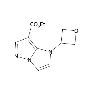 CCOC(=O)c1cnn2ccn(C3COC3)c12